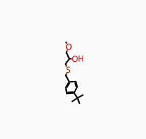 COCC(O)CSCc1ccc(C(C)(C)C)cc1